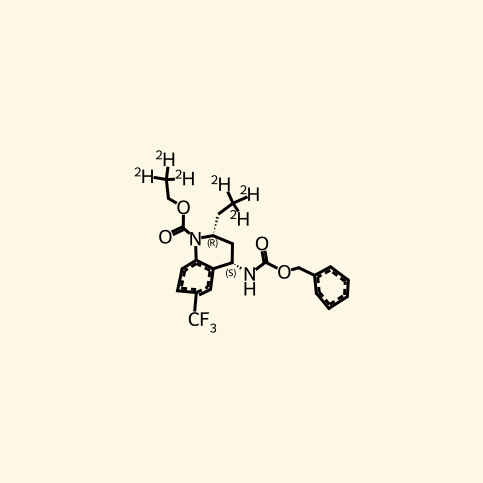 [2H]C([2H])([2H])COC(=O)N1c2ccc(C(F)(F)F)cc2[C@@H](NC(=O)OCc2ccccc2)C[C@H]1CC([2H])([2H])[2H]